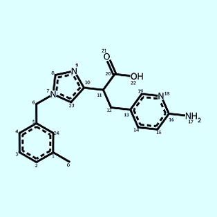 Cc1cccc(Cn2cnc(C(Cc3ccc(N)nc3)C(=O)O)c2)c1